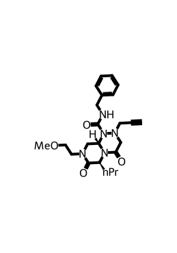 C#CCN1CC(=O)N2[C@@H](CCC)C(=O)N(CCOC)C[C@@H]2N1C(=O)NCc1ccccc1